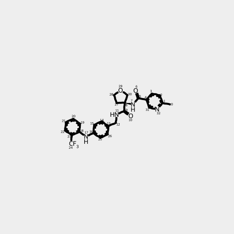 Cc1ccc(C(=O)N[C@@]2(C(=O)NCc3ccc(Nc4ccccc4C(F)(F)F)cc3)CCOC2)cn1